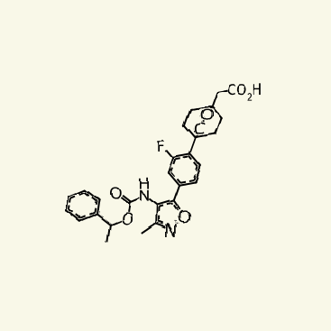 Cc1noc(-c2ccc(C34CCC(CC(=O)O)(CC3)OC4)c(F)c2)c1NC(=O)OC(C)c1ccccc1